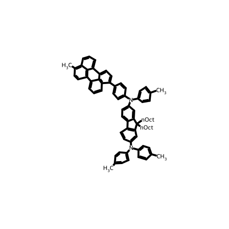 CCCCCCCCC1(CCCCCCCC)c2cc(N(c3ccc(C)cc3)c3ccc(C)cc3)ccc2-c2ccc(N(c3ccc(C)cc3)c3ccc(-c4ccc5c6cccc7c(C)ccc(c8cccc4c85)c76)cc3)cc21